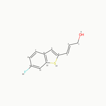 OC/C=C/c1cc2ccc(F)cc2s1